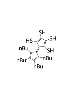 CCCCC1=C(CCCC)C(=C2C(S)=C(S)C(S)=C2S)C(CCCC)=C1CCCC